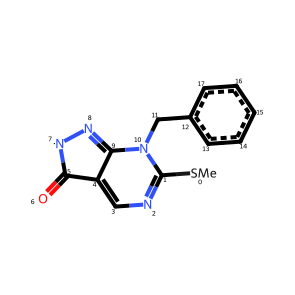 CSC1=NC=C2C(=O)[N]N=C2N1Cc1ccccc1